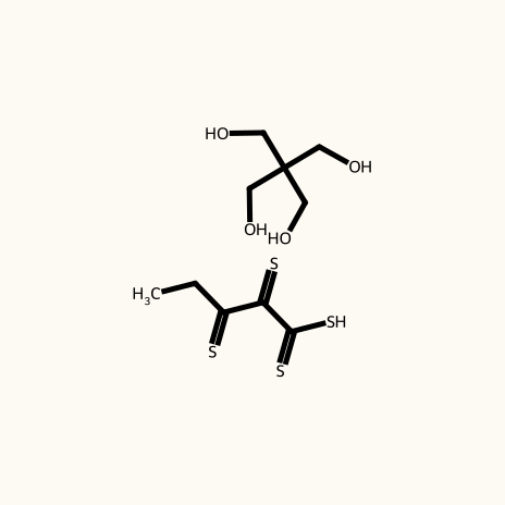 CCC(=S)C(=S)C(=S)S.OCC(CO)(CO)CO